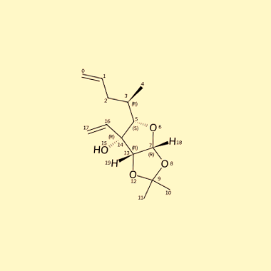 C=CC[C@@H](C)[C@@H]1O[C@@H]2OC(C)(C)O[C@@H]2[C@@]1(O)C=C